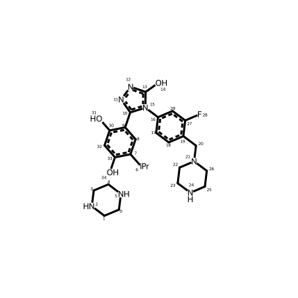 C1CNCCN1.CC(C)c1cc(-c2nnc(O)n2-c2ccc(CN3CCNCC3)c(F)c2)c(O)cc1O